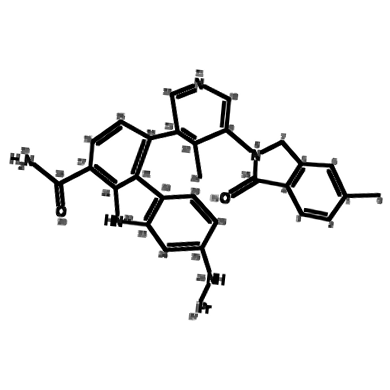 Cc1ccc2c(c1)CN(c1cncc(-c3ccc(C(N)=O)c4[nH]c5cc(NC(C)C)ccc5c34)c1C)C2=O